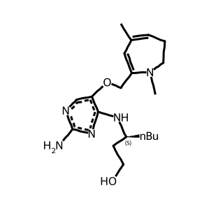 CCCC[C@@H](CCO)Nc1nc(N)ncc1OCC1=CC(C)=CCCN1C